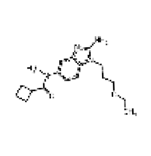 CCOCCCn1c(N)nc2cc(N(C)C(=O)C3CCC3)ccc21